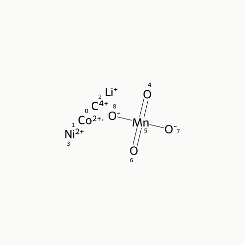 [C+4].[Co+2].[Li+].[Ni+2].[O]=[Mn](=[O])([O-])[O-]